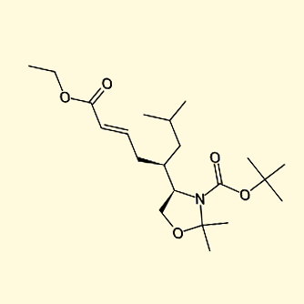 CCOC(=O)/C=C/C[C@@H](CC(C)C)[C@@H]1COC(C)(C)N1C(=O)OC(C)(C)C